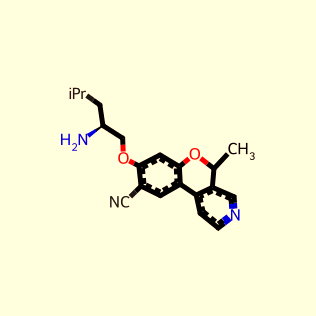 CC(C)C[C@H](N)COc1cc2c(cc1C#N)-c1ccncc1C(C)O2